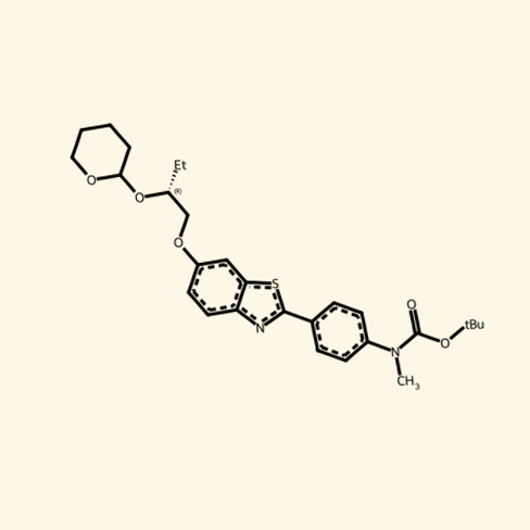 CC[C@H](COc1ccc2nc(-c3ccc(N(C)C(=O)OC(C)(C)C)cc3)sc2c1)OC1CCCCO1